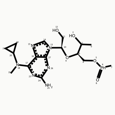 CC(O)[C@@H](CO[PH](C)=O)O[C@H](CO)n1cnc2c(N(C)C3CC3)nc(N)nc21